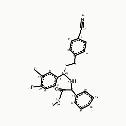 CNC(=O)C(N[C@@H](CCc1ccc(C#N)cc1)c1ccc(F)c(C)c1)c1ccccc1